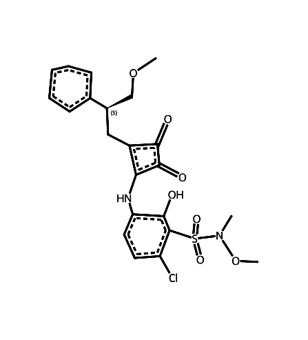 COC[C@@H](Cc1c(Nc2ccc(Cl)c(S(=O)(=O)N(C)OC)c2O)c(=O)c1=O)c1ccccc1